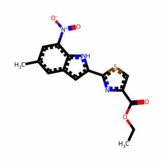 CCOC(=O)c1csc(-c2cc3cc(C)cc([N+](=O)[O-])c3[nH]2)n1